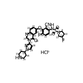 Cl.N#Cc1c(NS(=O)(=O)N2CC[C@@H](F)C2)ccc(F)c1Oc1ccc2ncn(-c3ccn(C4CCNCC4)n3)c(=O)c2c1